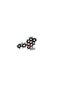 CC(C)(C)c1ccc(N(c2ccc3c(c2)oc2ccccc23)c2ccc3ccccc3c2-c2cccc3sc4ccccc4c23)cc1